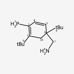 CC(C)(C)C1=C(P)C=CC(CN)(C(C)(C)C)C1